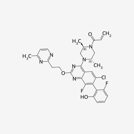 C=CC(=O)N1C[C@H](C)N(c2nc(OCCc3nccc(C)n3)nc3c(F)c(-c4c(O)cccc4F)c(Cl)cc23)C[C@H]1C